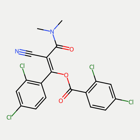 CN(C)C(=O)/C(C#N)=C(\OC(=O)c1ccc(Cl)cc1Cl)c1ccc(Cl)cc1Cl